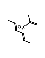 C=C(C)C(=O)O.CC=CC=CC